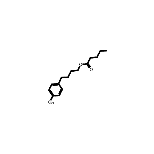 CCCCC(=O)OCCCCc1ccc(O)cc1